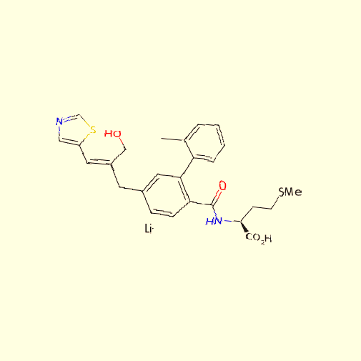 CSCC[C@H](NC(=O)c1ccc(CC(=Cc2cncs2)CO)cc1-c1ccccc1C)C(=O)O.[Li]